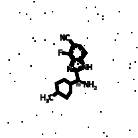 CC1CCC([C@H](N)c2nc3c(F)c(C#N)ccc3[nH]2)CC1